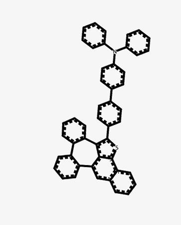 c1ccc(N(c2ccccc2)c2ccc(-c3ccc(-c4sc5c6c(cc7ccccc75)-c5ccccc5-c5ccccc5-c46)cc3)cc2)cc1